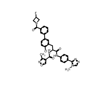 Cc1nocc1C(=O)NC(Cc1cc(-c2cccc(C(=O)N3CC(F)C3)c2)ccc1Cl)C(=O)Nc1ccc(-c2nncn2C)cc1